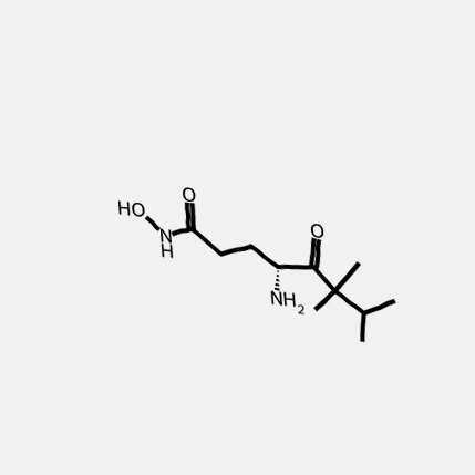 CC(C)C(C)(C)C(=O)[C@H](N)CCC(=O)NO